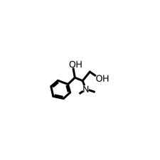 CN(C)C(CO)C(O)c1ccccc1